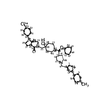 Cc1ccc(-c2ncc(CN3CC[C@@H](C(=O)N4CCC(O)(Cn5cnc6c(ccn6-c6ccc(Cl)cc6)c5=O)CC4)[C@H](c4ccccc4)C3)s2)cn1